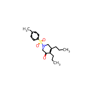 CCCC1=C(CCC)C(=O)CN(S(=O)(=O)c2ccc(C)cc2)C1